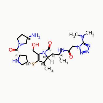 C[C@@H](NC(=O)Cn1nnnc1N(C)C)[C@H]1C(=O)N2C(CO)=C(S[C@@H]3CN[C@H](C(=O)N4CC[C@@H](N)C4)C3)[C@H](C)[C@H]12